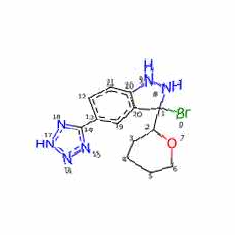 BrC1(C2CCCCO2)NNc2ccc(-c3nn[nH]n3)cc21